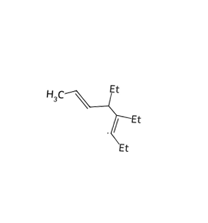 CC=CC(CC)/C(=[C]/CC)CC